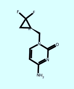 Nc1ccn(C[C@H]2CC2(F)F)c(=O)n1